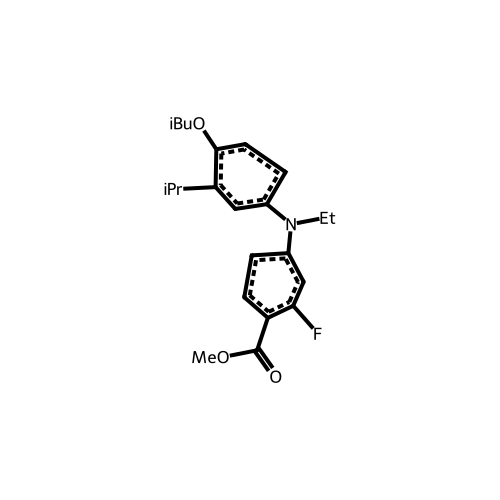 CCN(c1ccc(C(=O)OC)c(F)c1)c1ccc(OCC(C)C)c(C(C)C)c1